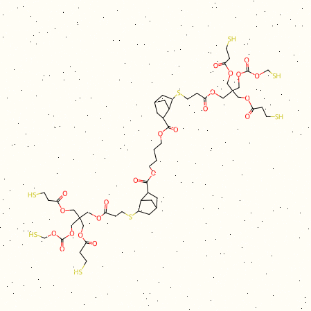 O=C(CCS)OCC(COC(=O)CCS)(COC(=O)CCSC1CC2CC(C(=O)OCCCCOC(=O)C3CC4CC(SCCC(=O)OCC(COC(=O)CCS)(COC(=O)CCS)COC(=O)OCS)C3C4)C1C2)COC(=O)OCS